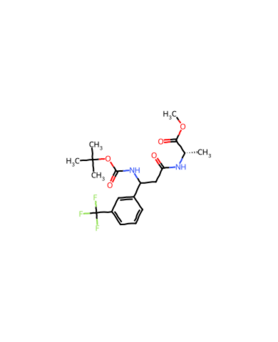 COC(=O)[C@H](C)NC(=O)CC(NC(=O)OC(C)(C)C)c1cccc(C(F)(F)F)c1